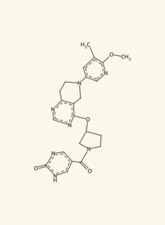 COc1ncc(N2CCc3ncnc(OC4CCN(C(=O)c5cnc(=O)[nH]c5)C4)c3C2)cc1C